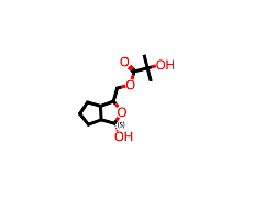 CC(C)(O)C(=O)OCC1O[C@H](O)C2CCCC12